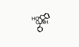 O=C(N[C@@H]1c2ccccc2C[C@H]1O)c1ccccc1